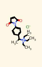 CC[N+](CC)(CC)C(C)c1ccc(N2C(=O)C=CC2=O)cc1.[Cl-]